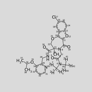 [2H]C([2H])([2H])N(C(=O)CN1C(=O)c2oc3ccc(Cl)cc3c2OCC1(C)C(=O)NCc1ncccc1OC(C)C)C([2H])([2H])[2H]